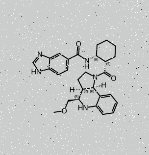 COC[C@@H]1Nc2ccccc2[C@H]2[C@@H]1CCN2C(=O)[C@H]1CCCC[C@H]1NC(=O)c1ccc2[nH]cnc2c1